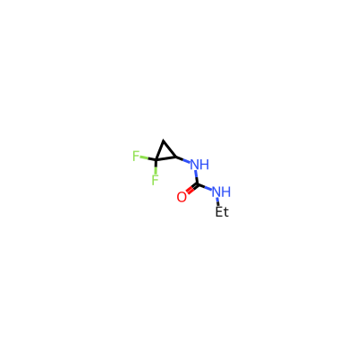 CCNC(=O)NC1CC1(F)F